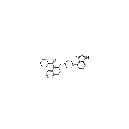 Cc1[nH]c2cccc(N3CCN(CC4CCc5ccccc5N4C(=O)C4CCCCC4)CC3)c2c1C